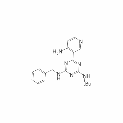 CC(C)(C)Nc1nc(NCc2ccccc2)nc(-c2cnccc2N)n1